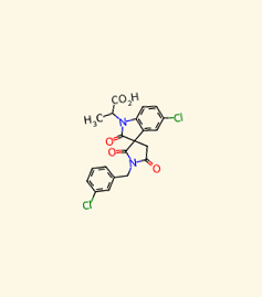 CC(C(=O)O)N1C(=O)C2(CC(=O)N(Cc3cccc(Cl)c3)C2=O)c2cc(Cl)ccc21